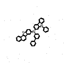 c1ccc(-c2cccc(N(c3ccc4sc5c6ccccc6ccc5c4c3)c3ccc4c5ccccc5n(-c5ccccc5)c4c3)c2)cc1